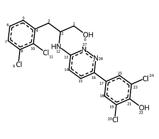 OCC(Cc1cccc(Cl)c1Cl)Nc1ccc(-c2cc(Cl)c(O)c(Cl)c2)nn1